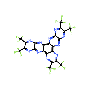 FC(F)(F)c1nc2nc3c4nc(C(F)(F)F)c(C(F)(F)F)nc4c4nc5nc(C(F)(F)F)c(C(F)(F)F)nc5nc4c3nc2nc1C(F)(F)F